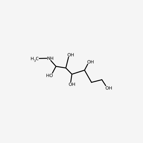 CNC(O)C(O)C(O)C(O)CCO